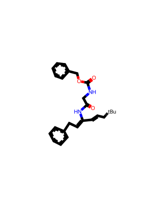 CC(C)(C)CC=CC(=CCc1ccccc1)NC(=O)CNC(=O)OCc1ccccc1